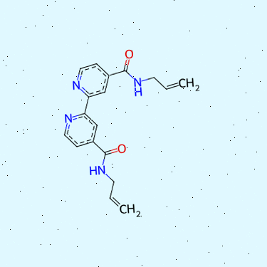 C=CCNC(=O)c1ccnc(-c2cc(C(=O)NCC=C)ccn2)c1